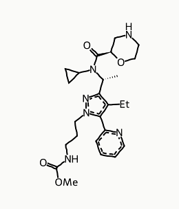 CCc1c([C@@H](C)N(C(=O)[C@H]2CNCCO2)C2CC2)nn(CCCNC(=O)OC)c1-c1ccccn1